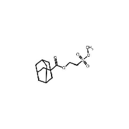 COS(=O)(=O)CCOC(=O)C12CC3CC(CC(C3)C1)C2